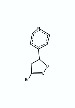 BrC1=NOC(c2ccncc2)C1